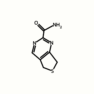 NC(=O)c1ncc2c(n1)CSC2